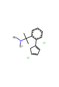 CC(C)(C)[N]([Ti+2])C(C)(C)c1ccccc1C1=CC=CC1.[Cl-].[Cl-]